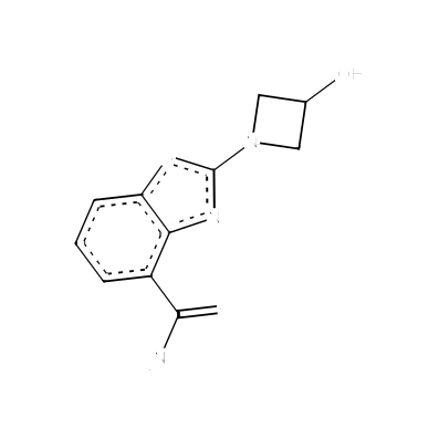 NC(=O)c1[c]ccc2sc(N3CC(O)C3)nc12